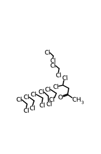 CC(=O)CC(Cl)Cl.ClCCl.ClCCl.ClCCl.ClCCl.ClCCl.ClCCl.ClCCl